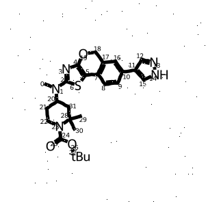 CN(c1nc2c(s1)-c1ccc(-c3cn[nH]c3)cc1CO2)C1CCN(C(=O)OC(C)(C)C)C(C)(C)C1